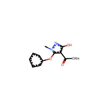 COC(=O)c1c(O)nn(C)c1Oc1ccccc1